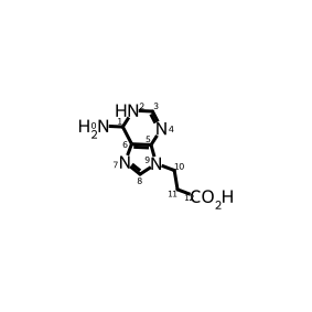 NC1NC=Nc2c1ncn2CCC(=O)O